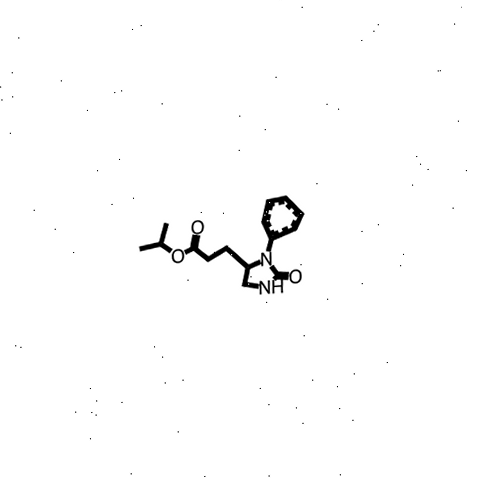 CC(C)OC(=O)CCC1CNC(=O)N1c1ccccc1